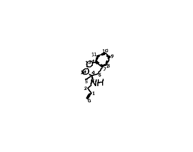 C=CCNC1(C)Cc2ccccc2OO1